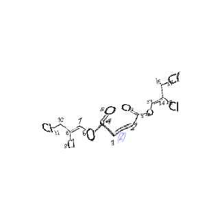 O=C(/C=C\C(=O)OC=C(Cl)CCl)OC=C(Cl)CCl